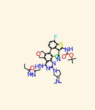 CCc1nnc(CNc2nc(N3CC[C@H](N(C)C)C3)nc3c(Cl)c(-c4ccc(F)c5sc(NC(=O)OC(C)(C)C)c(C#N)c45)c4c(c23)COC4)o1